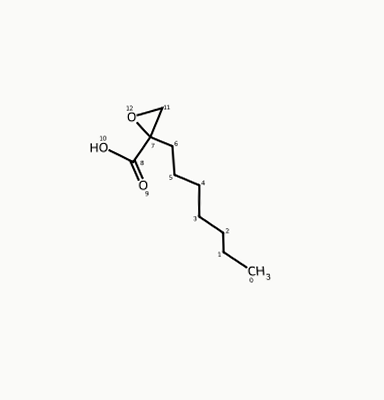 CCCCCCCC1(C(=O)O)CO1